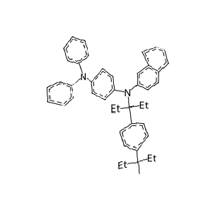 CCC(C)(CC)c1ccc(C(CC)(CC)N(c2ccc(N(c3ccccc3)c3ccccc3)cc2)c2ccc3ccccc3c2)cc1